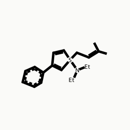 CCN(CC)S1(CC=C(C)C)C=CC(c2ccccc2)=C1